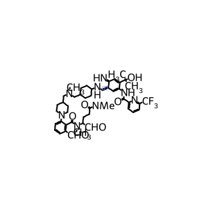 CNC(=O)CCC(C=O)N(C)C(=O)c1c(C=O)cccc1N1CCC(CN(C)CC2CCC(N/C=C3/C=C(NC(=O)c4cccc(C(F)(F)F)n4)C(C(C)(C)O)=CC3=N)CC2)CC1